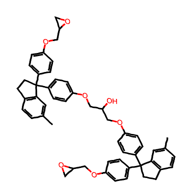 Cc1ccc2c(c1)C(c1ccc(OCC(O)COc3ccc(C4(c5ccc(OCC6CO6)cc5)CCc5ccc(C)cc54)cc3)cc1)(c1ccc(OCC3CO3)cc1)CC2